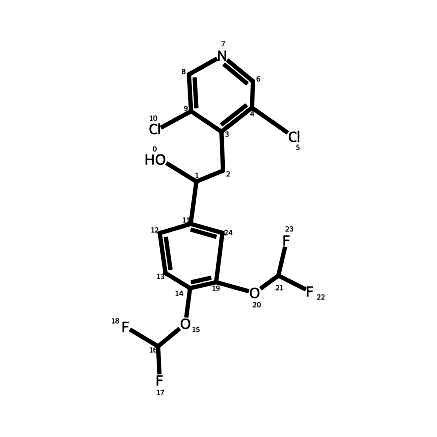 OC(Cc1c(Cl)cncc1Cl)c1ccc(OC(F)F)c(OC(F)F)c1